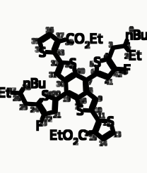 CCCCC(CC)Cc1sc(-c2c3cc(-c4sccc4C(=O)OCC)sc3c(-c3cc(F)c(CC(CC)CCCC)s3)c3cc(-c4sccc4C(=O)OCC)sc23)cc1F